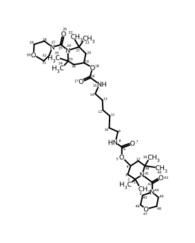 CC1(C)CC(OC(=O)NCCCCCCNC(=O)OC2CC(C)(C)N(C(=O)N3CCOCC3)C(C)(C)C2)CC(C)(C)N1C(=O)N1CCOCC1